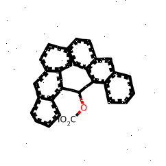 O=C(O)OC(c1c2ccccc2cc2ccccc12)c1c2ccccc2cc2ccccc12